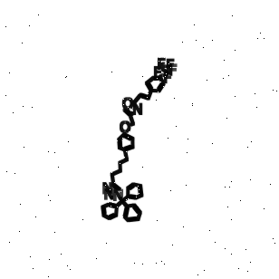 FS(F)(F)(F)(F)c1ccc(/C=C/c2nc(COc3ccc(CCCCc4cn(C(c5ccccc5)(c5ccccc5)c5ccccc5)nn4)cc3)co2)cc1